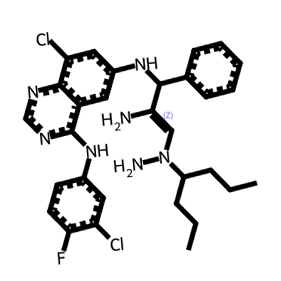 CCCC(CCC)N(N)/C=C(\N)C(Nc1cc(Cl)c2ncnc(Nc3ccc(F)c(Cl)c3)c2c1)c1ccccc1